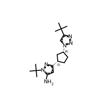 CC(C)(C)c1cn([C@@H]2CC[C@H](c3cc(N)n(C(C)(C)C)n3)C2)nn1